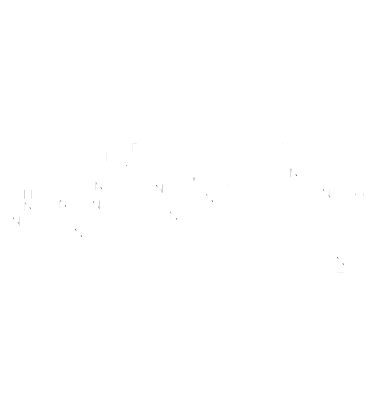 Cn1c(-c2cn(-c3ncc4cn[nH]c4n3)nc2C(F)(F)F)cnc1C(=O)Nc1ccc(C(=O)N2CCN(C(=O)C3CCNCC3)CC2)c(Cl)c1